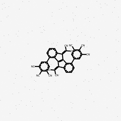 N#CC(C#N)=C1C2=C(C(=C(C#N)C#N)c3cccc(-c4cc(C#N)c(C#N)c(C#N)c4)c32)c2c1cccc2-c1cc(C#N)c(C#N)c(C#N)c1